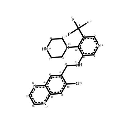 FC(F)(F)c1cncc(NCc2cc3nccnc3cc2Cl)c1N1CCNCC1